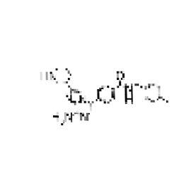 CCc1ccc(CNC(=O)c2ccc(-c3cnc(N)c4nc(C5CCCNC5)cn34)cc2)cc1